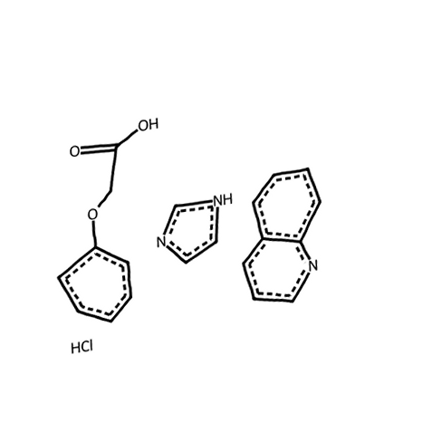 Cl.O=C(O)COc1ccccc1.c1c[nH]cn1.c1ccc2ncccc2c1